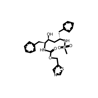 CS(=O)(=O)N[C@@H](Cc1ccccc1)C[C@H](O)[C@H](Cc1ccccc1)NC(=O)OCc1cncs1